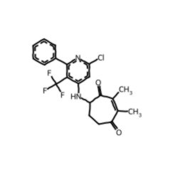 CC1=C(C)C(=O)C(Nc2cc(Cl)nc(-c3ccccc3)c2C(F)(F)F)CCC1=O